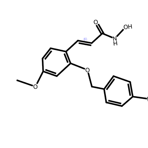 COc1ccc(/C=C/C(=O)NO)c(OCc2ccc(Br)cc2)c1